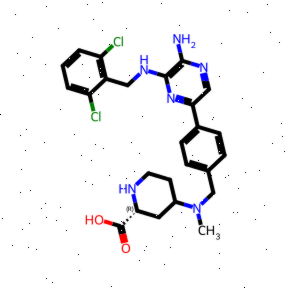 CN(Cc1ccc(-c2cnc(N)c(NCc3c(Cl)cccc3Cl)n2)cc1)C1CCN[C@@H](C(=O)O)C1